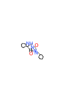 C[C@@H]1c2[nH]c3ccccc3c2C[C@@H]2C(=O)N(/N=C/c3ccccc3)CC(=O)N21